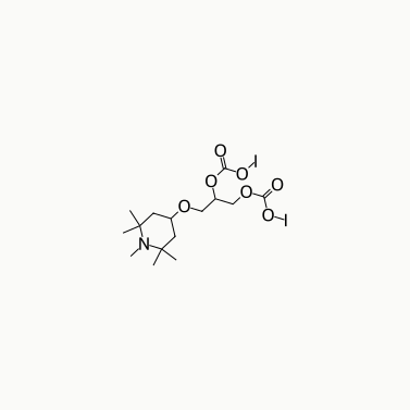 CN1C(C)(C)CC(OCC(COC(=O)OI)OC(=O)OI)CC1(C)C